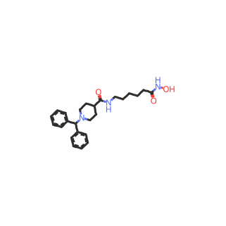 O=C(CCCCCNC(=O)C1CCN(C(c2ccccc2)c2ccccc2)CC1)NO